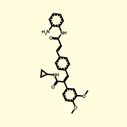 COc1ccc(C(=Cc2ccc(C=CC(=O)Nc3ccccc3N)cc2)C(=O)NC2CC2)cc1OC